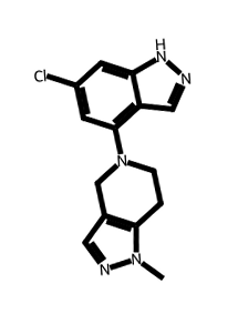 Cn1ncc2c1CCN(c1cc(Cl)cc3[nH]ncc13)C2